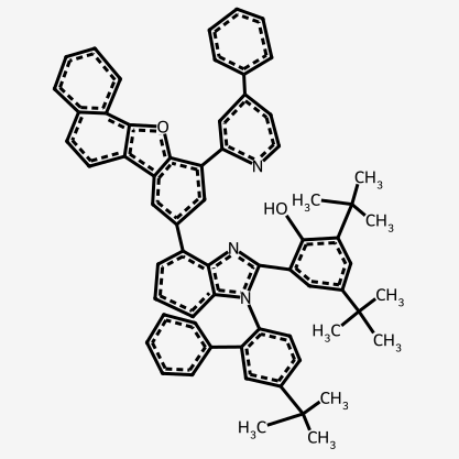 CC(C)(C)c1ccc(-n2c(-c3cc(C(C)(C)C)cc(C(C)(C)C)c3O)nc3c(-c4cc(-c5cc(-c6ccccc6)ccn5)c5oc6c7ccccc7ccc6c5c4)cccc32)c(-c2ccccc2)c1